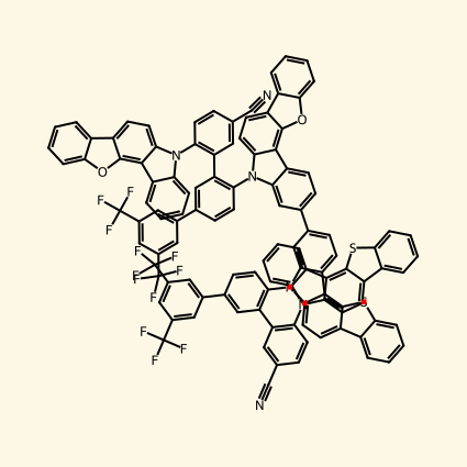 N#Cc1ccc(-n2c3ccccc3c3c4oc5ccccc5c4ccc32)c(-c2cc(-c3cc(C(F)(F)F)cc(C(F)(F)F)c3)ccc2-n2c3cc(-c4ccc5c6c7sc8ccccc8c7ccc6n(-c6ccc(-c7cc(C(F)(F)F)cc(C(F)(F)F)c7)cc6-c6cc(C#N)ccc6-n6c7ccccc7c7c8sc9ccccc9c8ccc76)c5c4)ccc3c3c4oc5ccccc5c4ccc32)c1